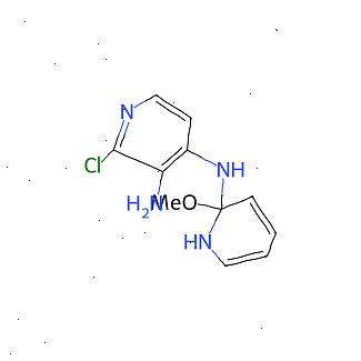 COC1(Nc2ccnc(Cl)c2N)C=CC=CN1